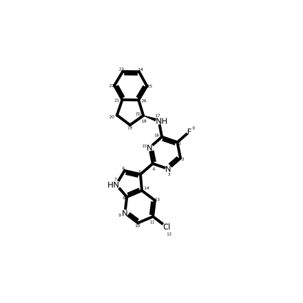 Fc1cnc(-c2c[nH]c3ncc(Cl)cc23)nc1N[C@H]1CCc2ccccc21